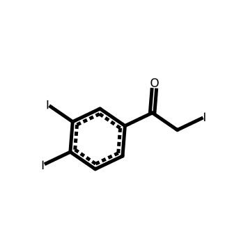 O=C(CI)c1ccc(I)c(I)c1